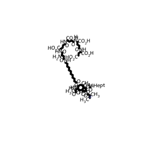 C/C=C(/C)C(=O)O[C@H]1C(C)=C2[C@H]([C@@H]1OC(=O)CCCCCCC)[C@@](C)(OC(C)=O)C[C@H](OC(=O)CCCCCCCCCCCNC(=O)C[C@H](N)C(=O)N[C@@H](CCC(=O)N[C@@H](CCC(=O)N[C@@H](CCC(=O)N[C@@H](CCC(=O)O)C(=O)O)C(=O)O)C(=O)O)C(=O)O)[C@@]1(O)[C@H]2OC(=O)[C@@]1(C)O